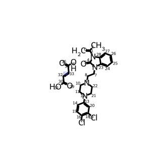 C=C(C)n1c(=O)n(CCN2CCN(c3ccc(Cl)c(Cl)c3)CC2)c2ccccc21.O=C(O)/C=C/C(=O)O